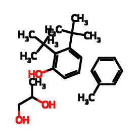 CC(C)(C)c1cccc(O)c1C(C)(C)C.CC(O)CO.Cc1ccccc1